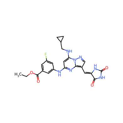 CCOC(=O)c1cc(F)cc(Nc2cc(NCC3CC3)n3ncc(/C=C4\NC(=O)NC4=O)c3n2)c1